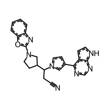 N#CCC(C1CCN(c2nc3ccccc3o2)C1)n1ccc(-c2ncnc3[nH]ccc23)c1